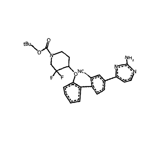 CC(C)(C)OC(=O)N1CCC(Oc2ccccc2-c2ccc(-c3ccnc(N)n3)cc2C#N)C(F)(F)C1